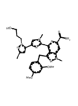 COc1ccc(Cc2nn(C)c3cc(C(N)=O)nc(-c4nc(-c5cc(C)nn5CCCO)cn4C)c23)c(OC)c1